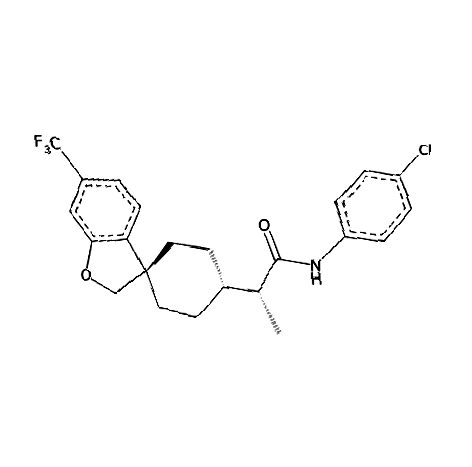 C[C@@H](C(=O)Nc1ccc(Cl)cc1)[C@H]1CC[C@@]2(CC1)COc1cc(C(F)(F)F)ccc12